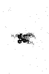 COC(=O)c1ccc2c(C3CCCCC3)c(-c3ccc(OC)c4ccn(CCCO[Si](C)(C)C(C)(C)C)c34)[nH]c2c1